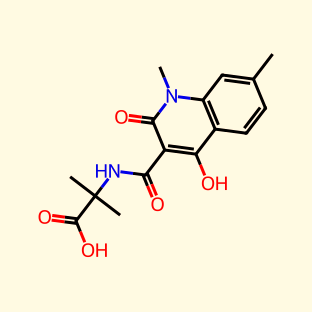 Cc1ccc2c(O)c(C(=O)NC(C)(C)C(=O)O)c(=O)n(C)c2c1